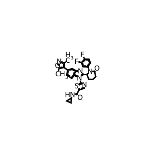 Cc1noc(C)c1-c1ccc2c(c1)nc([C@@H]1CCCC(=O)N1c1ccc(F)c(F)c1)n2-c1ncc(C(=O)NC2CC2)s1